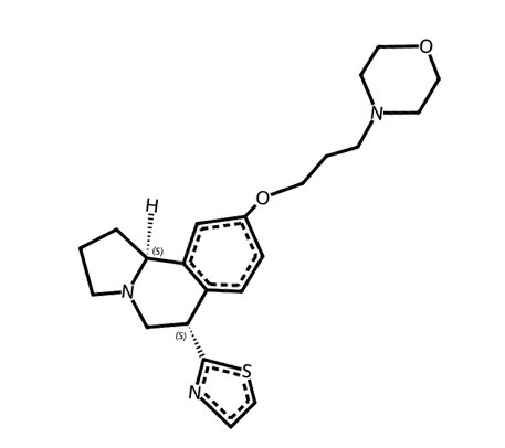 c1csc([C@@H]2CN3CCC[C@H]3c3cc(OCCCN4CCOCC4)ccc32)n1